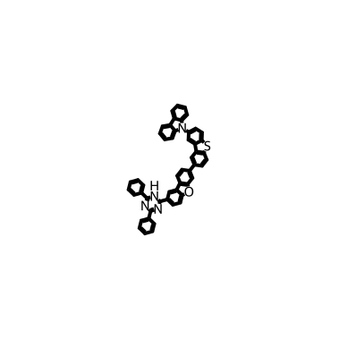 c1ccc(C2=NC(c3ccc4oc5cc(-c6ccc7sc8ccc(-n9c%10ccccc%10c%10ccccc%109)cc8c7c6)ccc5c4c3)NC(c3ccccc3)=N2)cc1